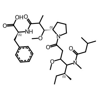 CC[C@H](C)C(C(CC(=O)N1CCC[C@H]1C(OC)C(C)C(=O)N[C@@H](Cc1ccccc1)C(=O)O)OC)N(C)C(=O)CC(C)C